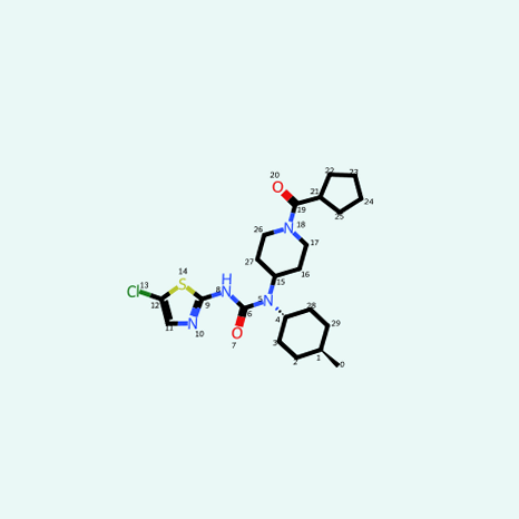 C[C@H]1CC[C@H](N(C(=O)Nc2ncc(Cl)s2)C2CCN(C(=O)C3CCCC3)CC2)CC1